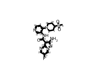 CS(=O)(=O)C1CCN(c2ccncc2NC(=O)c2c(N)nn3cc(F)cnc23)CC1